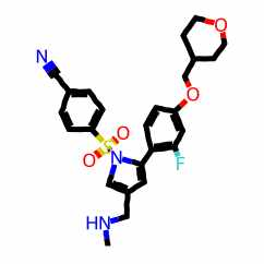 CNCc1cc(-c2ccc(OCC3CCOCC3)cc2F)n(S(=O)(=O)c2ccc(C#N)cc2)c1